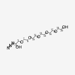 [N-]=[N+]=NC(O)COCCOCCOCCOCCOCCO